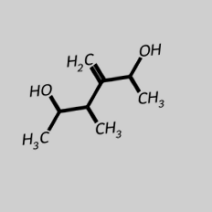 C=C(C(C)O)C(C)C(C)O